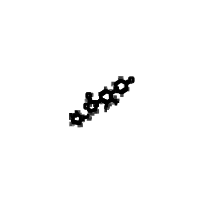 O=C1C=CN(c2ccc(N3C[C@H](Cn4ccnn4)OC3=O)c(F)c2F)CC1